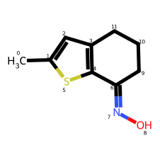 Cc1cc2c(s1)C(=NO)CCC2